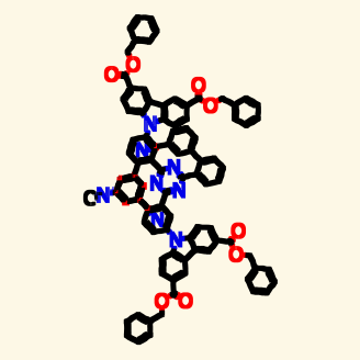 [C-]#[N+]c1cccc(-c2ccc(-n3c4ccc(C(=O)OCc5ccccc5)cc4c4cc(C(=O)OCc5ccccc5)ccc43)cc2-c2nc(-c3ccccc3-c3cccc(C#N)c3)nc(-c3cc(-n4c5ccc(C(=O)OCc6ccccc6)cc5c5cc(C(=O)OCc6ccccc6)ccc54)ccc3-c3cccc(C#N)c3)n2)c1